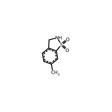 Cc1ccc2c(c1)S(=O)(=O)NC2